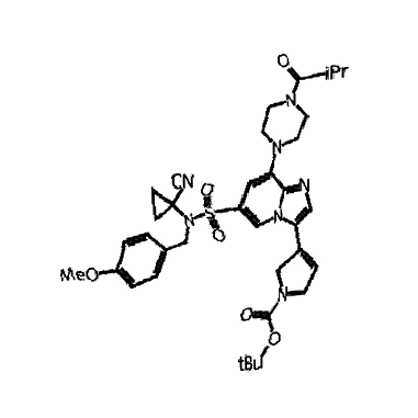 COc1ccc(CN(C2(C#N)CC2)S(=O)(=O)c2cc(N3CCN(C(=O)C(C)C)CC3)c3ncc(C4=CCN(C(=O)OC(C)(C)C)C4)n3c2)cc1